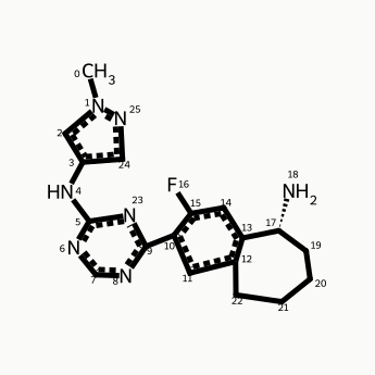 Cn1cc(Nc2ncnc(-c3cc4c(cc3F)[C@H](N)CCCC4)n2)cn1